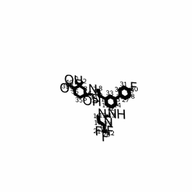 CC1(C)CC(O)(c2ncc(-c3cc(Nc4nccc(C(F)(F)F)n4)cc(-c4ccc(F)cc4)c3)s2)CCC1C(=O)O